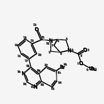 CC(C)(C)OC(=O)N1CC2CC1CN2C(=O)c1cccc(-c2ncnc3ccc(Br)cc23)c1